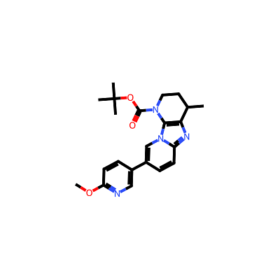 COc1ccc(-c2ccc3nc4c(n3c2)N(C(=O)OC(C)(C)C)CCC4C)cn1